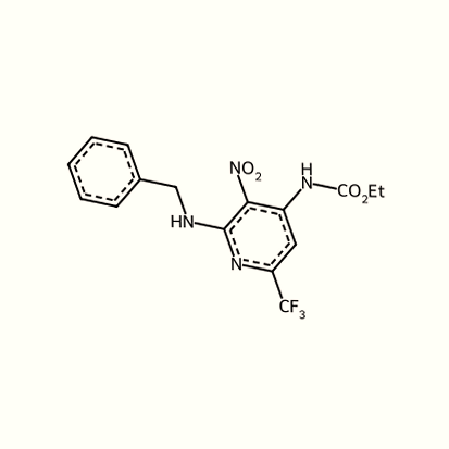 CCOC(=O)Nc1cc(C(F)(F)F)nc(NCc2ccccc2)c1[N+](=O)[O-]